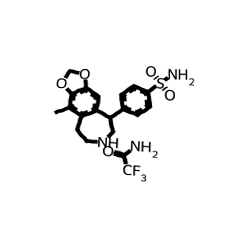 Cc1c2c(cc3c1OCO3)C(c1ccc(S(N)(=O)=O)cc1)CNCC2.NC(=O)C(F)(F)F